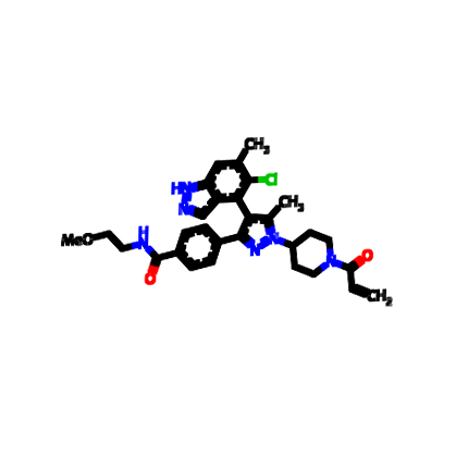 C=CC(=O)N1CCC(n2nc(-c3ccc(C(=O)NCCOC)cc3)c(-c3c(Cl)c(C)cc4[nH]ncc34)c2C)CC1